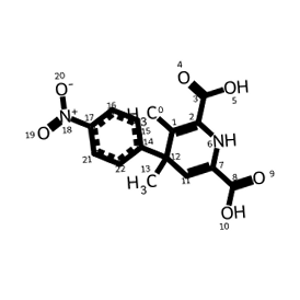 CC1=C(C(=O)O)NC(C(=O)O)=CC1(C)c1ccc([N+](=O)[O-])cc1